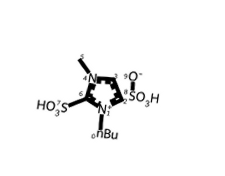 CCCC[n+]1ccn(C)c1S(=O)(=O)O.O=S(=O)([O-])O